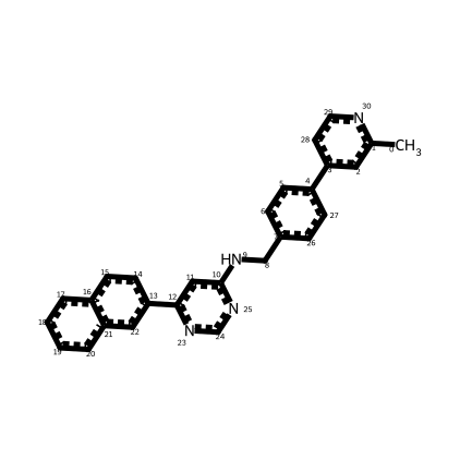 Cc1cc(-c2ccc(CNc3cc(-c4ccc5ccccc5c4)ncn3)cc2)ccn1